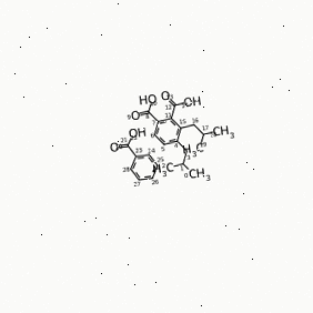 CC(C)Cc1ccc(C(=O)O)c(C(=O)O)c1CC(C)C.O=C(O)c1ccccc1